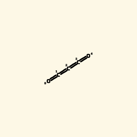 O=C=C=C=O